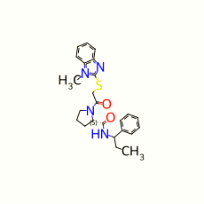 CCC(NC(=O)[C@@H]1CCCN1C(=O)CSc1nc2ccccc2n1C)c1ccccc1